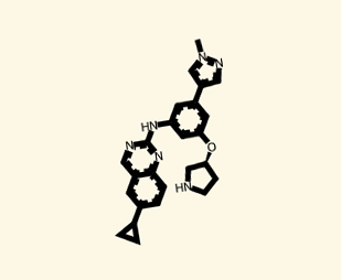 Cn1cc(-c2cc(Nc3ncc4cc(C5CC5)ccc4n3)cc(O[C@H]3CCNC3)c2)cn1